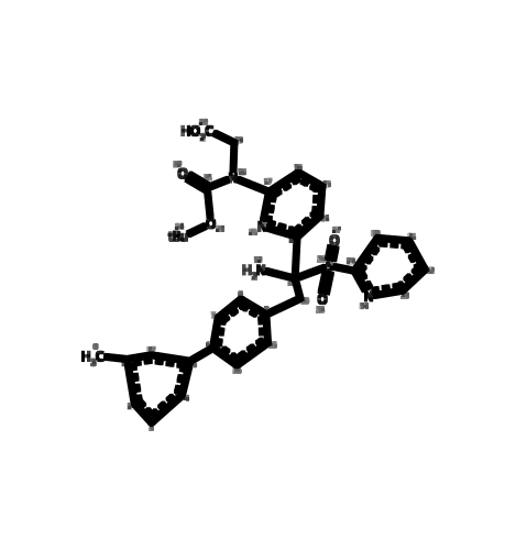 Cc1cccc(-c2ccc(CC(N)(c3cccc(N(CC(=O)O)C(=O)OC(C)(C)C)n3)S(=O)(=O)c3ccccn3)cc2)c1